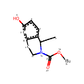 CC1c2ccc(O)cc2CCN1C(=O)OC(C)(C)C